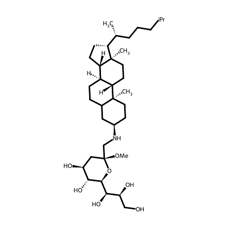 CO[C@]1(CN[C@@H]2CC[C@@]3(C)C(CC[C@H]4[C@@H]5CC[C@H]([C@H](C)CCCC(C)C)[C@@]5(C)CC[C@@H]43)C2)C[C@H](O)[C@@H](O)[C@H]([C@H](O)[C@@H](O)CO)O1